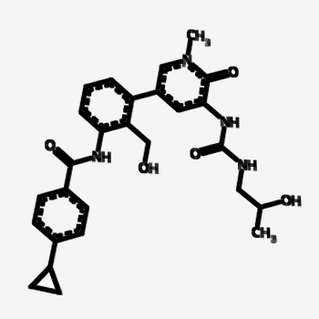 CC(O)CNC(=O)Nc1cc(-c2cccc(NC(=O)c3ccc(C4CC4)cc3)c2CO)cn(C)c1=O